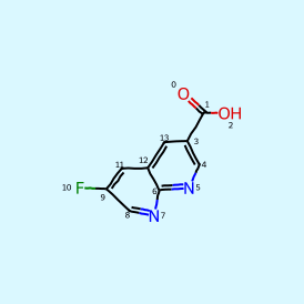 O=C(O)c1cnc2ncc(F)cc2c1